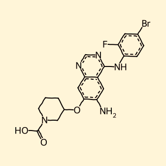 Nc1cc2c(Nc3ccc(Br)cc3F)ncnc2cc1OC1CCCN(C(=O)O)C1